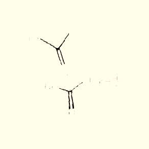 O=C(O)O.O=C([O-])O.[H+].[KH]